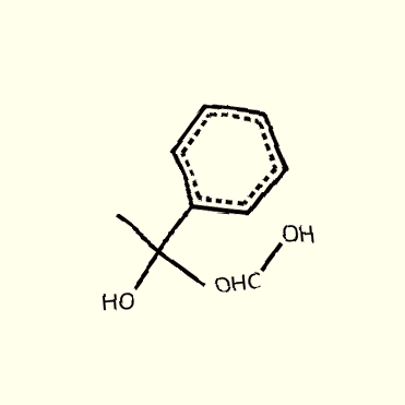 CC(C)(O)c1ccccc1.O=CO